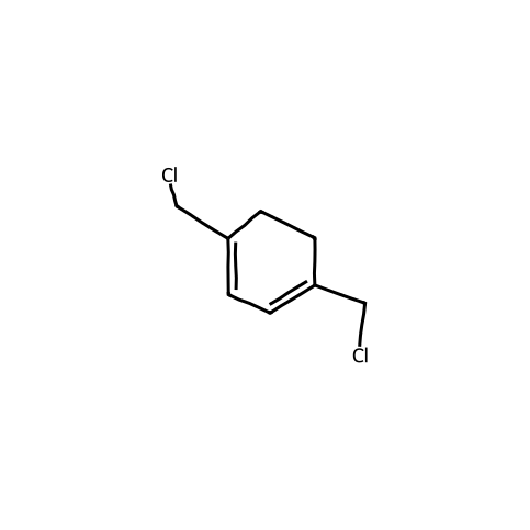 ClCC1=CC=C(CCl)CC1